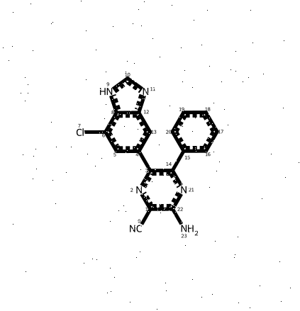 N#Cc1nc(-c2cc(Cl)c3[nH]cnc3c2)c(-c2ccccc2)nc1N